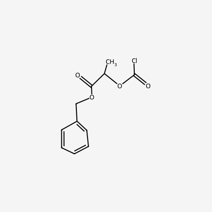 CC(OC(=O)Cl)C(=O)OCc1ccccc1